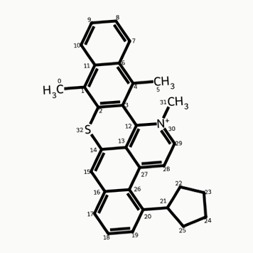 Cc1c2c(c(C)c3ccccc13)-c1c3c(cc4cccc(C5CCCC5)c4c3cc[n+]1C)S2